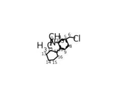 CN(C)c1cc(CCl)ccc1C1CCCCC1